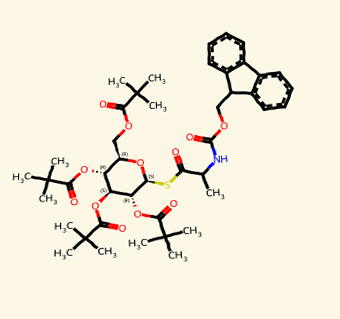 CC(NC(=O)OCC1c2ccccc2-c2ccccc21)C(=O)S[C@@H]1O[C@H](COC(=O)C(C)(C)C)[C@@H](OC(=O)C(C)(C)C)[C@H](OC(=O)C(C)(C)C)[C@H]1OC(=O)C(C)(C)C